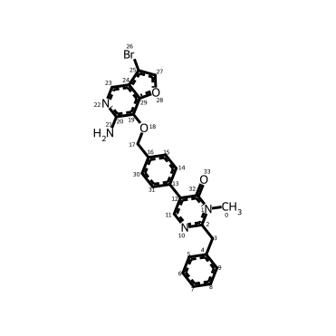 Cn1c(Cc2ccccc2)ncc(-c2ccc(COc3c(N)ncc4c(Br)coc34)cc2)c1=O